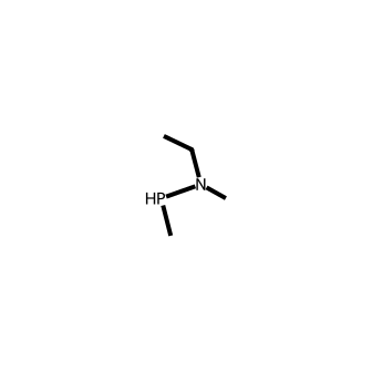 CCN(C)PC